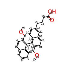 COCc1ccc2ccccc2c1-c1c(COC)ccc2cc(CCCC(=O)O)ccc12